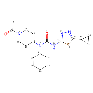 CC(=O)N1CCC(N(C(=O)Nc2nnc(C3CC3)s2)C2CCCCC2)CC1